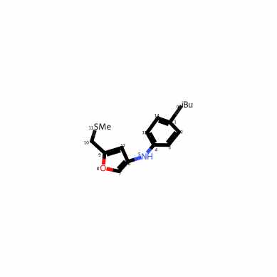 CCC(C)c1ccc(Nc2[c]oc(CSC)c2)cc1